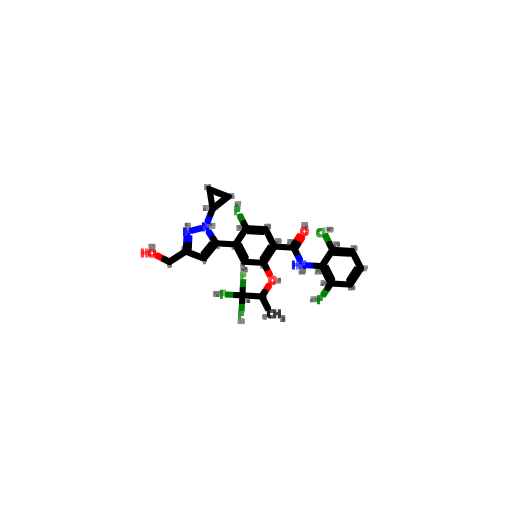 CC(Oc1cc(-c2cc(CO)nn2C2CC2)c(F)cc1C(=O)Nc1c(F)cccc1Cl)C(F)(F)F